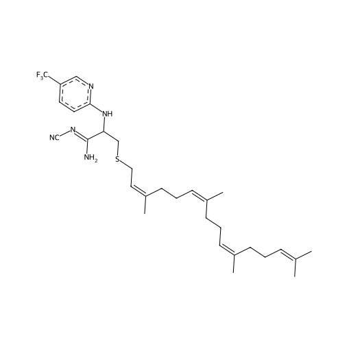 CC(C)=CCCC(C)=CCCC(C)=CCCC(C)=CCSCC(Nc1ccc(C(F)(F)F)cn1)C(N)=NC#N